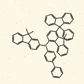 CC1(C)c2ccccc2-c2ccc(N(c3ccc(-c4ccccc4)cc3)c3ccc(C4(c5ccccc5)c5ccccc5-c5ccccc54)c4c3-c3ccccc3C4(C)C)cc21